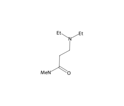 CCN(CC)CCC(=O)NC